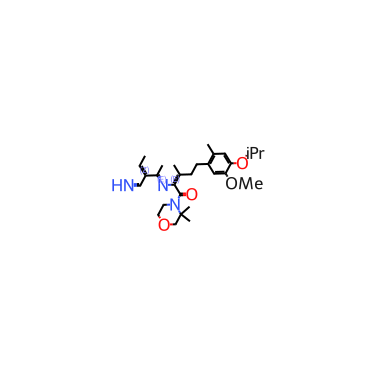 C\C=C(C=N)/C(C)=N/C(C(=O)N1CCOCC1(C)C)=C(\C)CCc1cc(OC)c(OC(C)C)cc1C